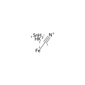 N#[C][Fe].[KH].[SnH2]